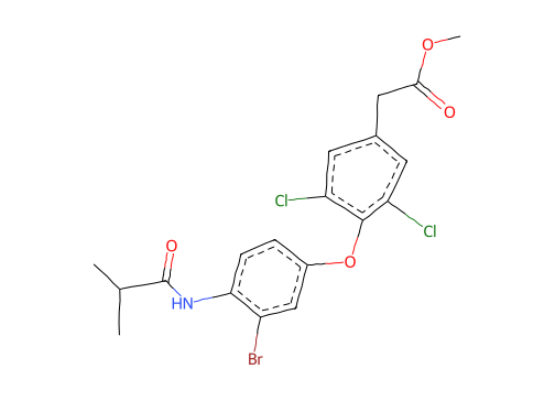 COC(=O)Cc1cc(Cl)c(Oc2ccc(NC(=O)C(C)C)c(Br)c2)c(Cl)c1